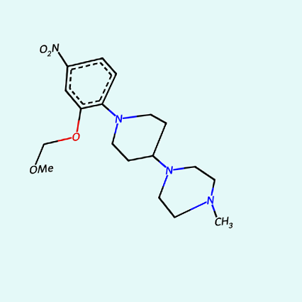 COCOc1cc([N+](=O)[O-])ccc1N1CCC(N2CCN(C)CC2)CC1